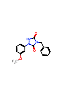 O=c1[nH]n(-c2cccc(OC(F)(F)F)c2)c(=O)n1Cc1ccccc1